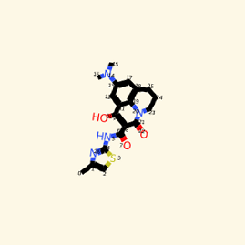 Cc1csc(NC(=O)c2c(O)c3cc(N(C)C)cc4c3n(c2=O)CCC4)n1